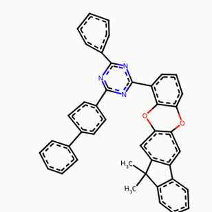 CC1(C)c2ccccc2-c2cc3c(cc21)Oc1c(cccc1-c1nc(-c2ccccc2)nc(-c2ccc(-c4ccccc4)cc2)n1)O3